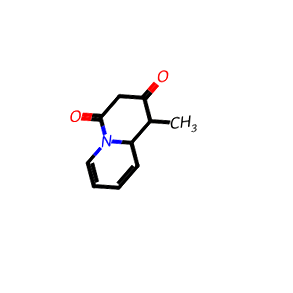 CC1C(=O)CC(=O)N2C=CC=CC12